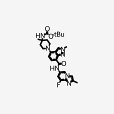 Cc1cn2cc(NC(=O)c3ccc(N4CCC(C)(NC(=O)OC(C)(C)C)CC4)c4cn(C)nc34)cc(F)c2n1